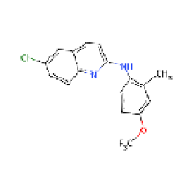 Cc1cc(OC(F)(F)F)ccc1Nc1ccc2cc(Cl)ccc2n1